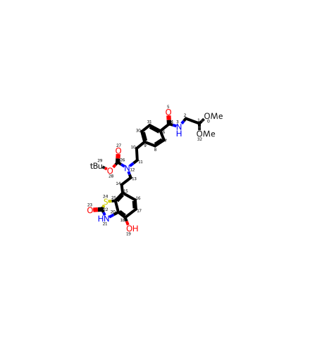 COC(CNC(=O)c1ccc(CCN(CCc2ccc(O)c3[nH]c(=O)sc23)C(=O)OC(C)(C)C)cc1)OC